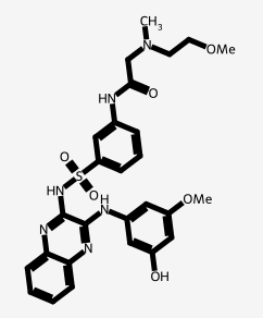 COCCN(C)CC(=O)Nc1cccc(S(=O)(=O)Nc2nc3ccccc3nc2Nc2cc(O)cc(OC)c2)c1